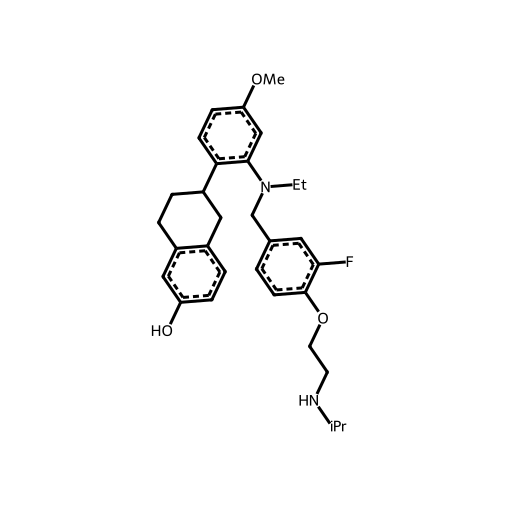 CCN(Cc1ccc(OCCNC(C)C)c(F)c1)c1cc(OC)ccc1C1CCc2cc(O)ccc2C1